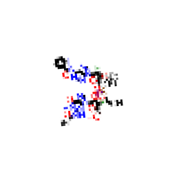 CC[Si](CC)(CC)O[C@H]1[C@@H](F)[C@H](n2cnc3c(NC(=O)c4ccccc4)ncnc32)O[C@@H]1COP(=S)(OCCC#N)O[C@@H]1[C@H](F)[C@@H](CO)O[C@H]1n1cnc2c(=O)[nH]c(NC(=O)C(C)C)nc21